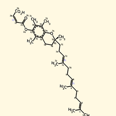 CC(C)=CCC/C(C)=C/CC/C(C)=C/CC[C@]1(C)CCc2c(C)c(OC(=O)/C=C\C(=O)O)c(C)c(C)c2O1